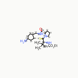 CCCC(C)(C)[C@H](NC(=O)OCC)C(=S)N1CCC[C@H]1C(=O)NCC1CCC(N)CC1